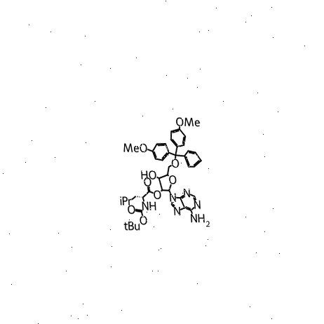 COc1ccc(C(OCC2OC(n3cnc4c(N)ncnc43)C(OC(=O)[C@@H](CC(C)C)NC(=O)OC(C)(C)C)C2O)(c2ccccc2)c2ccc(OC)cc2)cc1